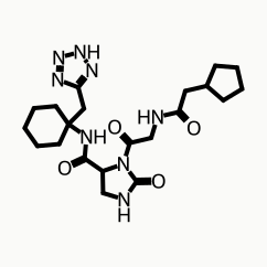 O=C(CC1CCCC1)NCC(=O)N1C(=O)NCC1C(=O)NC1(Cc2nn[nH]n2)CCCCC1